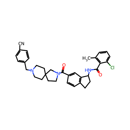 Cc1cccc(Cl)c1C(=O)NC1CCc2ccc(C(=O)N3CCC4(CCN(Cc5ccc(C#N)cc5)CC4)C3)cc21